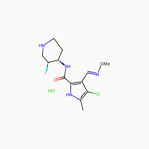 CON=Cc1c(C(=O)N[C@@H]2CCNC[C@@H]2F)[nH]c(C)c1Cl.Cl